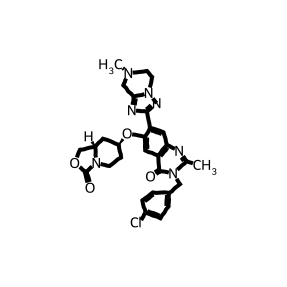 Cc1nc2cc(-c3nc4n(n3)CCN(C)C4)c(O[C@H]3CCN4C(=O)OC[C@@H]4C3)cc2c(=O)n1Cc1ccc(Cl)cc1